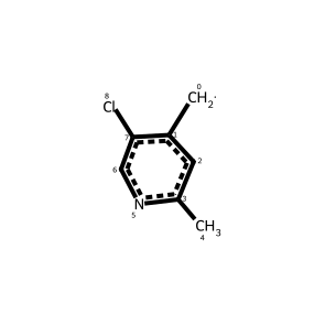 [CH2]c1cc(C)ncc1Cl